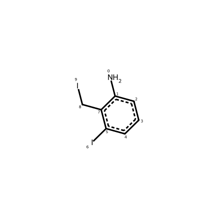 Nc1cccc(I)c1CI